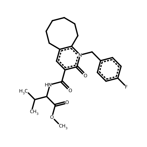 COC(=O)C(NC(=O)c1cc2c(n(Cc3ccc(F)cc3)c1=O)CCCCCC2)C(C)C